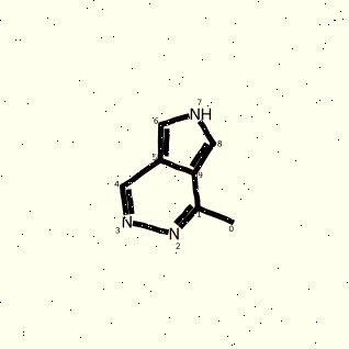 Cc1nncc2c[nH]cc12